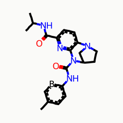 Cc1cbc(NC(=O)N2c3nc(C(=O)NC(C)C)ccc3N3CCC2C3)cc1